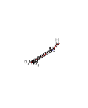 Cc1ccc2c(c1)NCC21CCN(CCC2CCN(C(=O)/C=C/c3cc(F)cc(OCCOCCOCCOCCOCCOCCOCCOCCOCCOCCNc4ccc([N+](=O)[O-])cc4[N+](=O)[O-])c3)CC2)CC1C